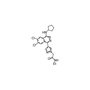 CCNC(=O)Cn1cc(-c2nnc(NC3CCCC3)c3cc(Cl)c(Cl)cc23)cn1